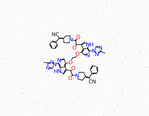 Cc1ncn(-c2ncc(OCCOc3cnc(-n4cnc(C)n4)c4[nH]cc(C(=O)C(=O)N5CCC(=C(C#N)c6ccccc6)CC5)c34)c3c(C(=O)C(=O)N4CCC(=C(C#N)c5ccccc5)CC4)c[nH]c23)n1